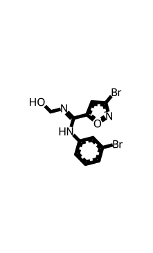 OC/N=C(\Nc1cccc(Br)c1)c1cc(Br)no1